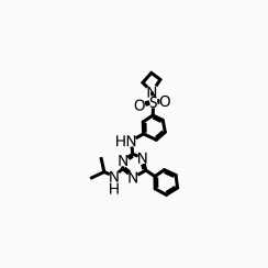 CC(C)Nc1nc(Nc2cccc(S(=O)(=O)N3CCC3)c2)nc(-c2ccccc2)n1